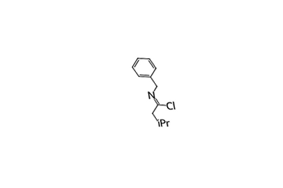 CC(C)C/C(Cl)=N/Cc1ccccc1